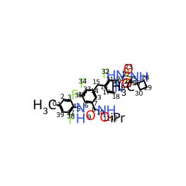 Cc1ccc(Nc2c(C(=O)NOC(C)C)cc(Cc3ccnc(NS(=O)(=O)NC4(C)CCC4)c3F)c(F)c2F)c(F)c1